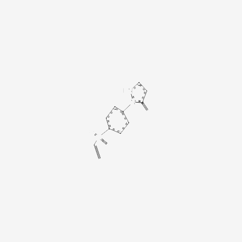 C=CS(=O)(=O)c1ccc(-n2[nH]ccc2=O)cc1